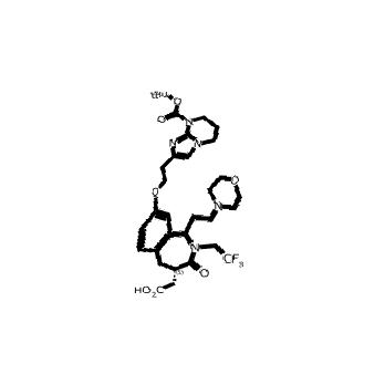 CC(C)(C)OC(=O)N1CCCn2cc(CCOc3ccc4c(c3)C(CCN3CCOCC3)N(CC(F)(F)F)C(=O)[C@H](CC(=O)O)C4)nc21